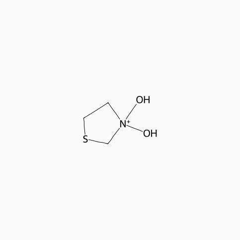 O[N+]1(O)CCSC1